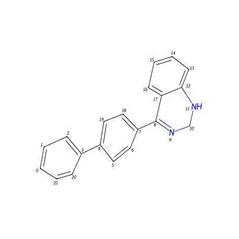 c1ccc(-c2ccc(C3=NCNc4ccccc43)cc2)cc1